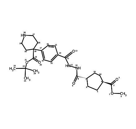 COC(=O)[C@H]1CC[C@H](C(=O)NNC(=O)c2ccc(C3(C(=O)OC(C)(C)C)CCNCC3)cc2)CC1